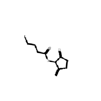 C=C1CCC(=O)C1OC(=O)CCCI